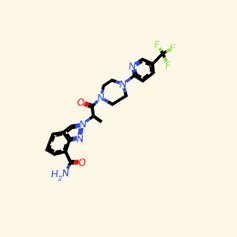 CC(C(=O)N1CCN(c2ccc(C(F)(F)F)cn2)CC1)n1cc2cccc(C(N)=O)c2n1